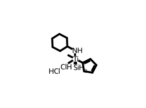 Cl.Cl.[CH3][Ti]([CH3])(=[SiH2])([NH]C1CCCCC1)[C]1=CC=CC1